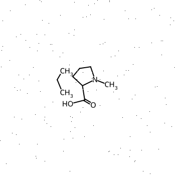 CCC.CN1CCCC1C(=O)O